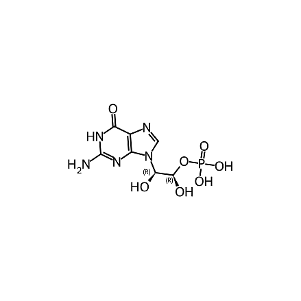 Nc1nc2c(ncn2[C@H](O)[C@H](O)OP(=O)(O)O)c(=O)[nH]1